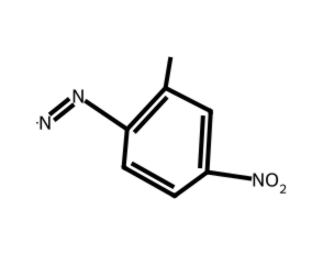 Cc1cc([N+](=O)[O-])ccc1N=[N]